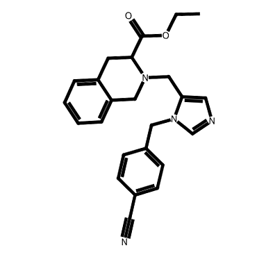 CCOC(=O)C1Cc2ccccc2CN1Cc1cncn1Cc1ccc(C#N)cc1